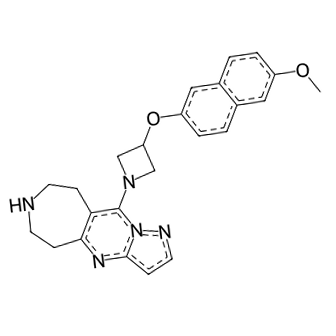 COc1ccc2cc(OC3CN(c4c5c(nc6ccnn46)CCNCC5)C3)ccc2c1